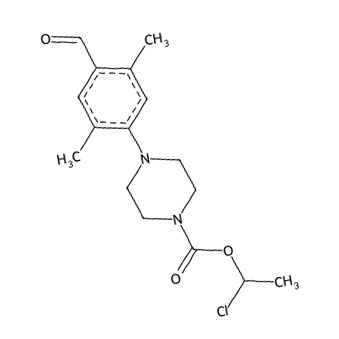 Cc1cc(N2CCN(C(=O)OC(C)Cl)CC2)c(C)cc1C=O